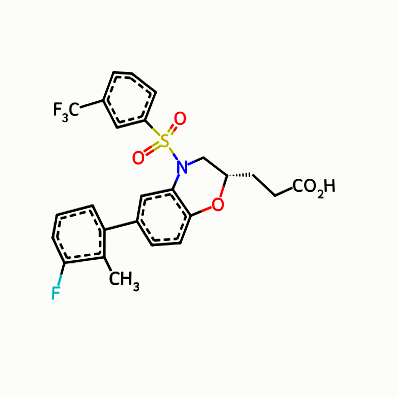 Cc1c(F)cccc1-c1ccc2c(c1)N(S(=O)(=O)c1cccc(C(F)(F)F)c1)C[C@H](CCC(=O)O)O2